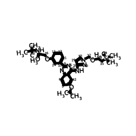 CC(C)Oc1ccc2nc(-c3cccc(OCC(=O)NC(C)(C)C)c3)nc(Nc3ccn(COCC[Si](C)(C)C)n3)c2c1